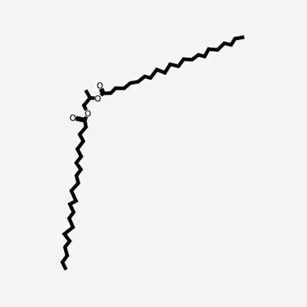 CCCCCCCCCCCCCCCCCCCCCC(=O)OCC(C)OC(=O)CCCCCCCCCCCCCCCCCCCCC